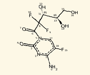 Nc1nc(=O)n(C(=O)C(F)(F)[C@H](O)[C@H](O)CO)cc1F